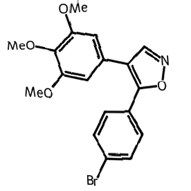 COc1cc(-c2cnoc2-c2ccc(Br)cc2)cc(OC)c1OC